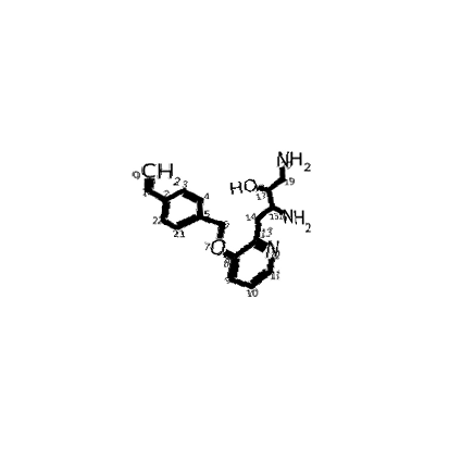 C=Cc1ccc(COc2cccnc2CC(N)C(O)CN)cc1